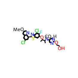 COc1cnc2c(-c3nc4c(Cl)c(F)c(OC(C)C(C)N(C(=O)O)c5cnc(OCCO)nc5)cc4s3)cc(Cl)cc2c1